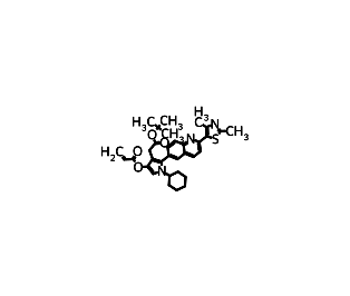 C=CC(=O)Oc1cn(C2CCCCC2)c(-c2ccc3nc(-c4sc(C)nc4C)ccc3c2)c1CC(=O)OC(C)(C)C